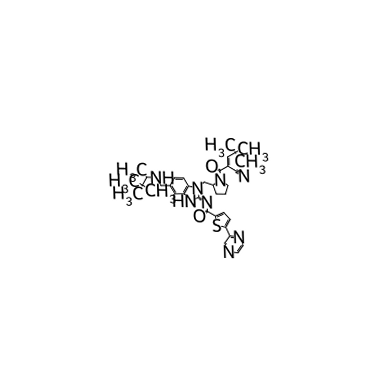 CC(NCc1ccc2c(c1)[nH]c(=NC(=O)c1ccc(-c3cnccn3)s1)n2CC1CCCN1C(=O)C(C#N)=CC(C)(C)C)C(C)(C)C